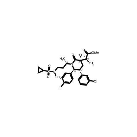 COC(=O)[C@@H](C)[C@@]1(C)C[C@H](c2cccc(Cl)c2)[C@@H](c2ccc(Cl)cc2)N([C@@H](C)CCN(C)S(=O)(=O)C2CC2)C1=O